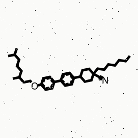 CCCCCCCC1(C#N)CCC(c2ccc(-c3ccc(OCCC(C)CCCC(C)C)cc3)cc2)CC1